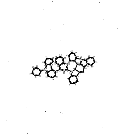 C1=C2c3ccccc3N(c3nc(-c4cccc5c4c4ccccc4n5-c4ccccc4)c4ccccc4n3)C2C2c3ccccc3-n3c2c1c1ccccc13